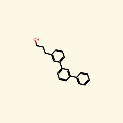 OCCCc1cccc(-c2cccc(-c3ccccc3)c2)c1